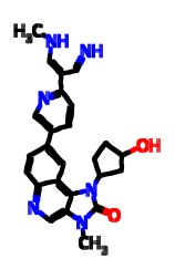 CN/C=C(\C=N)c1ccc(-c2ccc3ncc4c(c3c2)n(C2CCC(O)C2)c(=O)n4C)cn1